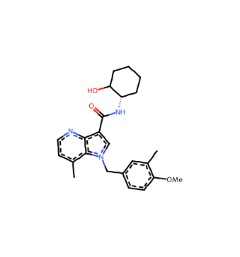 COc1ccc(Cn2cc(C(=O)N[C@H]3CCCCC3O)c3nccc(C)c32)cc1C